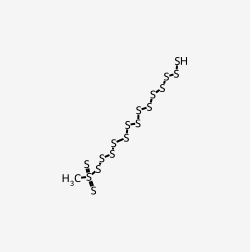 CS(=S)(=S)SSSSSSSSSSSSSS